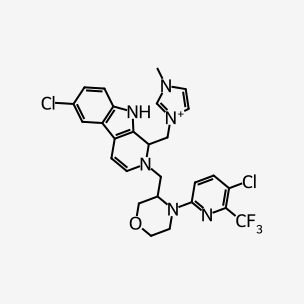 Cn1cc[n+](CC2c3[nH]c4ccc(Cl)cc4c3C=CN2CC2COCCN2c2ccc(Cl)c(C(F)(F)F)n2)c1